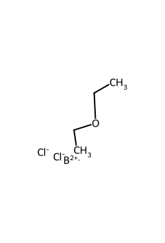 CCOCC.[B+2].[Cl-].[Cl-]